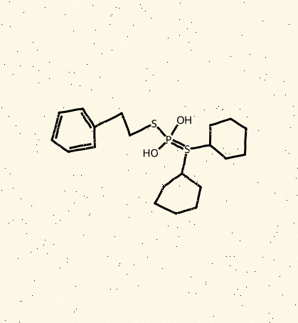 OP(O)(SCCc1ccccc1)=S(C1CCCCC1)C1CCCCC1